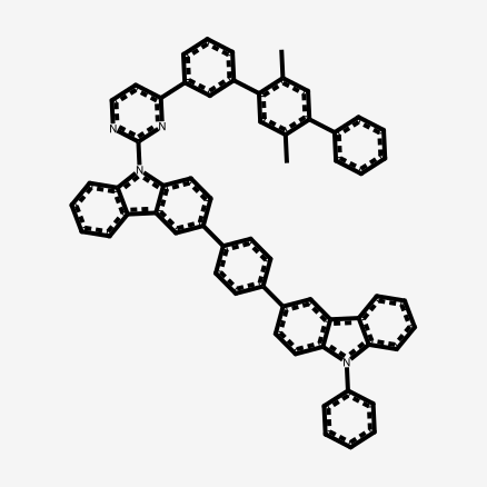 Cc1cc(-c2cccc(-c3ccnc(-n4c5ccccc5c5cc(-c6ccc(-c7ccc8c(c7)c7ccccc7n8-c7ccccc7)cc6)ccc54)n3)c2)c(C)cc1-c1ccccc1